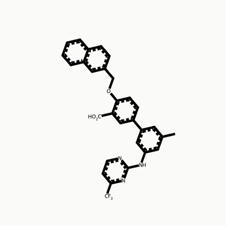 Cc1cc(Nc2nccc(C(F)(F)F)n2)cc(-c2ccc(OCc3ccc4ccccc4c3)c(C(=O)O)c2)c1